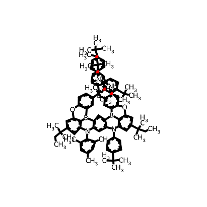 CCC(C)(C)c1cc2c3c(c1)N(c1ccc(C(C)(C)C)cc1)c1ccc(C(C)(C)C)cc1B3c1cc3c(cc1N2)Oc1cc(C(C)(C)CC)cc2c1B3c1cc3c(cc1N2c1ccc(C(C)(C)C)cc1)N(c1c(C)cc(C)cc1C)c1cc(C(C)(C)CC)cc2c1B3c1cc(C(C)(C)C)ccc1O2